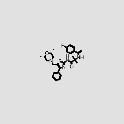 C=C(NC(C)(C)C(=O)Nc1nc(-c2ccccc2)c(CN2C[C@@H](C)O[C@@H](C)C2)s1)c1ccc(F)cc1